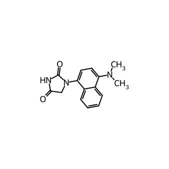 CN(C)c1ccc(N2CC(=O)NC2=O)c2ccccc12